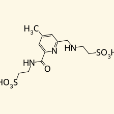 Cc1cc(CNCCS(=O)(=O)O)nc(C(=O)NCCS(=O)(=O)O)c1